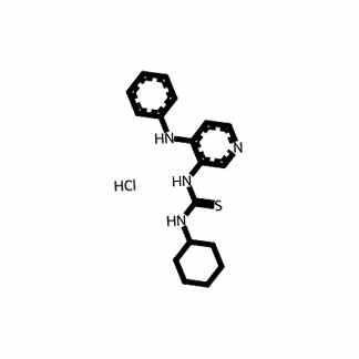 Cl.S=C(Nc1cnccc1Nc1ccccc1)NC1CCCCC1